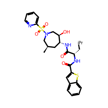 CC(C)C[C@H](NC(=O)c1cc2ccccc2s1)C(=O)N[C@@H]1C[C@@H](C)CN(S(=O)(=O)c2ccccn2)C[C@H]1O